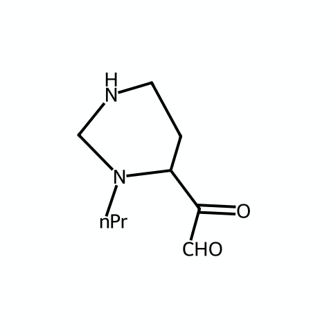 CCCN1CNCCC1C(=O)C=O